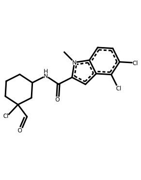 Cn1c(C(=O)NC2CCCC(Cl)(C=O)C2)cc2c(Cl)c(Cl)ccc21